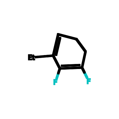 CCC1=CCCC(F)=C1F